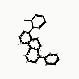 CC1C=CC=CC1c1ccnc2c1ccc1c(-c3ccccc3)ccnc12